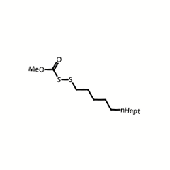 CCCCCCCCCCCCSSC(=O)OC